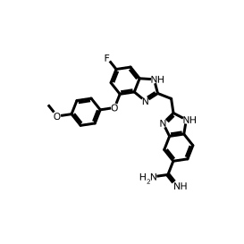 COc1ccc(Oc2cc(F)cc3[nH]c(Cc4nc5cc(C(=N)N)ccc5[nH]4)nc23)cc1